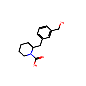 O=C(O)N1CCCCC1Cc1cccc(CO)c1